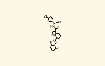 N#CC(NC(=O)c1cnc2c(OCc3c(F)cccc3F)cccn12)c1ccc(Cl)cc1